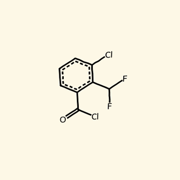 O=C(Cl)c1cccc(Cl)c1C(F)F